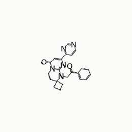 O=C(CN1c2nc(-c3ccncn3)cc(=O)n2CCC12CCC2)c1ccccc1